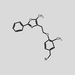 Cc1cc(CBr)ccc1OCCc1nc(-c2ccccc2)oc1C